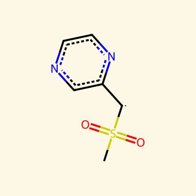 CS(=O)(=O)[CH]c1cnccn1